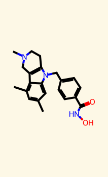 Cc1cc(C)c2c3c(n(Cc4ccc(C(=O)NO)cc4)c2c1)CCN(C)C3